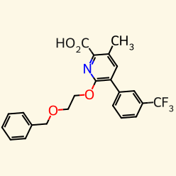 Cc1cc(-c2cccc(C(F)(F)F)c2)c(OCCOCc2ccccc2)nc1C(=O)O